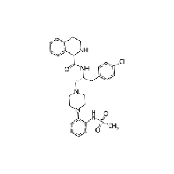 CS(=O)(=O)Nc1ccccc1N1CCN(C[C@@H](Cc2ccc(Cl)cc2)NC(=O)C2N[CH]Cc3ccccc32)CC1